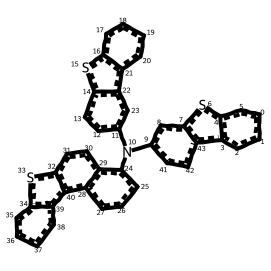 c1ccc2c(c1)sc1cc(N(c3ccc4sc5ccccc5c4c3)c3cccc4c3ccc3sc5ccccc5c34)ccc12